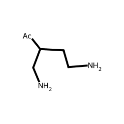 CC(=O)C(CN)CCN